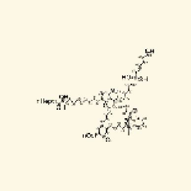 CCCCCCCCC1CC(CCCCC(=O)C[C@@H]2CCCC[C@H]2CC(=O)CCCCCCCCCC(O)C(O)CCCCCCC)C(CCCCC(=O)N[C@H]2CCCC[C@@H]2NC(=O)CCCCCCCCCC(O)C(O)CCCCCCO)CC1CCCCCCCC